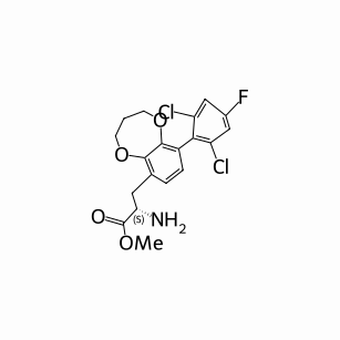 COC(=O)[C@@H](N)Cc1ccc(-c2c(Cl)cc(F)cc2Cl)c2c1OCCCO2